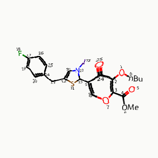 CCCCOc1c(C(=O)OC)occ(C2SC(Cc3ccc(F)cc3)=CN2I)c1=O